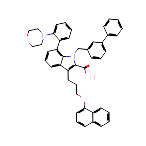 O=C(O)c1c(CCCOc2cccc3ccccc23)c2cccc(-c3ccccc3N3CCOCC3)c2n1Cc1cccc(-c2ccccc2)c1